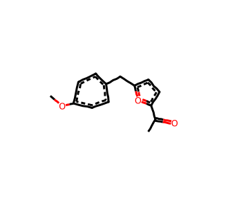 COc1ccc(Cc2ccc(C(C)=O)o2)cc1